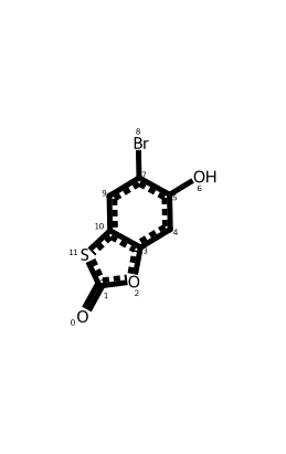 O=c1oc2cc(O)c(Br)cc2s1